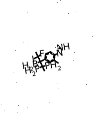 BC(c1ccc(N=N)c(C)c1)(C(C)(P)P)C(C)(F)I